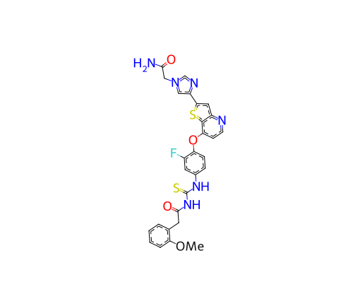 COc1ccccc1CC(=O)NC(=S)Nc1ccc(Oc2ccnc3cc(-c4cn(CC(N)=O)cn4)sc23)c(F)c1